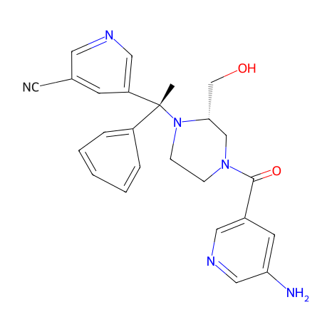 C[C@@](c1ccccc1)(c1cncc(C#N)c1)N1CCN(C(=O)c2cncc(N)c2)C[C@H]1CO